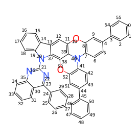 c1ccc(-c2ccc3c(c2)Oc2cc4c5ccccc5n(-c5nc(-c6ccccc6)c6ccccc6n5)c4c4c2N3c2ccc(-c3ccccc3)cc2O4)cc1